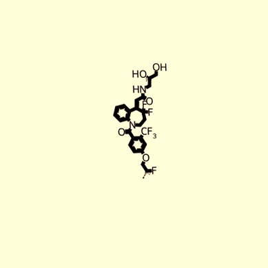 C[C@@H](F)COc1ccc(C(=O)N2CCC(F)(F)C(=CC(=O)NC[C@@H](O)CO)c3ccccc32)c(C(F)(F)F)c1